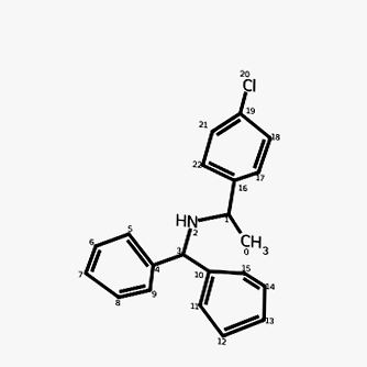 CC(NC(c1ccccc1)c1ccccc1)c1ccc(Cl)cc1